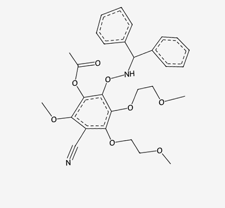 COCCOc1c(C#N)c(OC)c(OC(C)=O)c(ONC(c2ccccc2)c2ccccc2)c1OCCOC